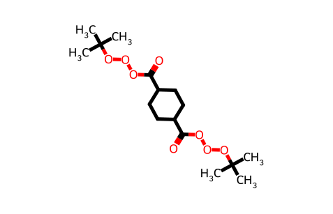 CC(C)(C)OOOC(=O)C1CCC(C(=O)OOOC(C)(C)C)CC1